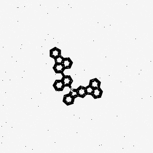 c1ccc2c(c1)-c1cccc3c(-c4ccc(-n5c6ccccc6c6cc7c(cc65)-c5cccc6cccc-7c56)c5ccccc45)ccc-2c13